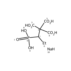 CCC(C(C(=O)O)(C(=O)O)C(=O)O)P(=O)(O)O.[NaH]